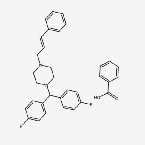 Fc1ccc(C(c2ccc(F)cc2)N2CCN(CC=Cc3ccccc3)CC2)cc1.O=C(O)c1ccccc1